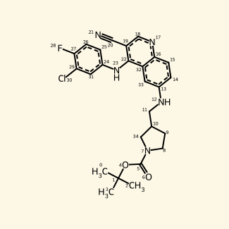 CC(C)(C)OC(=O)N1CCC(CNc2ccc3ncc(C#N)c(Nc4ccc(F)c(Cl)c4)c3c2)C1